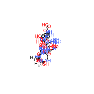 C[C@@H](O)[C@H]1NC(=O)[C@@H](CCCN(O)C=O)NC(=O)[C@H](NC(=O)[C@@H](CCCN(O)C=O)NC(=O)[C@H](CO)NC(=O)[C@@H](CCCNC(=N)N)NC(=O)[C@H](CO)NC(=O)[C@H]2CCN[C@@H]3C(NC(=O)CCC(=O)O)=Cc4cc(O)c(O)cc4N23)CCCCNC(=O)[C@@H]([C@@H](C)O)NC1=O